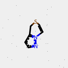 [c]1cc2n(n1)C=CSC2